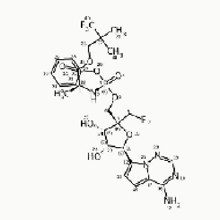 C[C@H](N[P@@](=O)(OC[C@@]1(CF)O[C@@H](c2ccc3c(N)ncnn23)[C@H](O)[C@@H]1O)Oc1ccccc1)C(=O)OCC(C)(C)C(F)(F)F